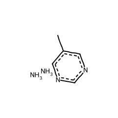 Cc1cncnc1.N.N